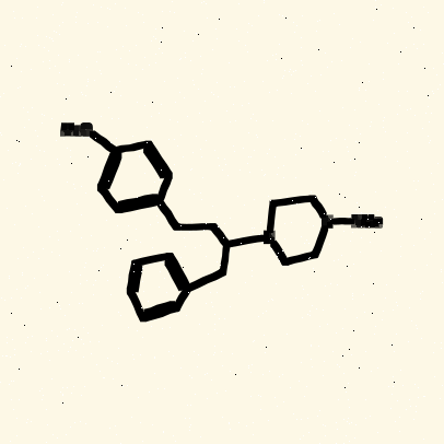 CNN1CCN(C(CCc2ccc(OC)cc2)Cc2ccccc2)CC1